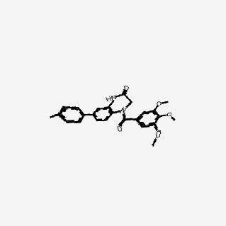 COc1cc(C(=O)N2CC(=O)Nc3cc(-c4ccc(C)cc4)ccc32)cc(OC)c1OC